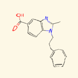 Cc1nc2cc(C(=O)O)ccc2n1CCc1ccccc1